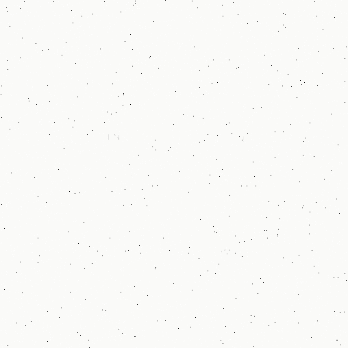 COc1ccc(C(Cc2ccccc2C(C)O)c2csc(N)n2)cc1